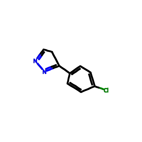 Clc1ccc(C2=NN=CC2)cc1